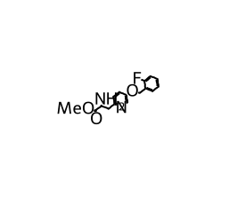 COC(=O)[C@@H](N)Cc1ccc(OCc2ccccc2F)cn1